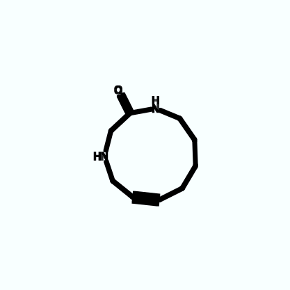 O=C1CNCC#CCCCCN1